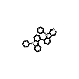 c1ccc(-n2c3ccccc3c3c(-c4cccc5c6ccncc6n(-c6ccccc6)c45)cccc32)cc1